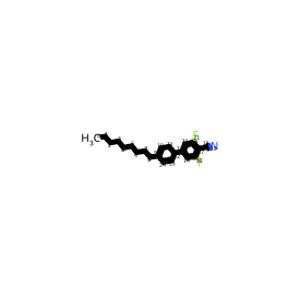 CCCCCCCCCC1=CCC(c2cc(F)c(C#N)c(F)c2)C=C1